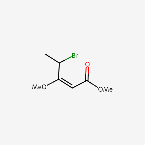 COC(=O)/C=C(/OC)C(C)Br